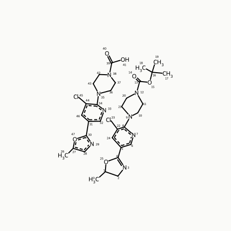 CC1CN=C(c2cnc(N3CCN(C(=O)OC(C)(C)C)CC3)c(Cl)c2)O1.Cc1cnc(-c2cnc(N3CCN(C(=O)O)CC3)c(Cl)c2)o1